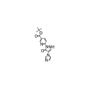 CC(C)(C)OC(=O)c1ccc(-n2[nH]cc(-n3ccnc3)c2=O)nc1